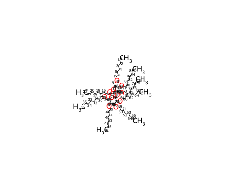 CCCCCCCCOC[C@H]1O[C@@](COCCCCCCCC)(O[C@H]2O[C@H](COCCCCCCCC)[C@@H](OCCCCCCCC)[C@H](OCCCCCCCC)[C@H]2OCCCCCCCC)[C@@H](OCCCCCCCC)[C@@H]1OCCCCCCCC